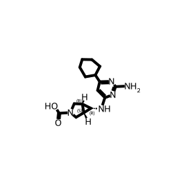 Nc1nc(N[C@@H]2[C@@H]3CN(C(=O)O)C[C@@H]32)cc(C2CCCCC2)n1